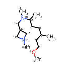 CC(CCOC(C)C)CCC(C)N(C)CC1CN(C(C)C)C1